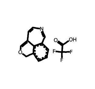 C1=CC2=COCc3cccc(c32)C=N1.O=C(O)C(F)(F)F